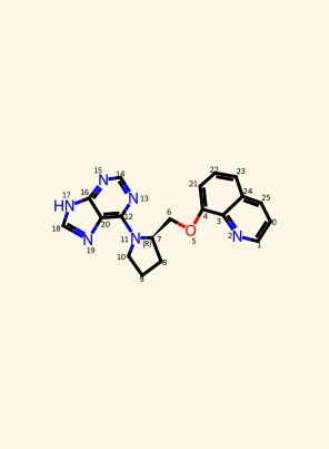 c1cnc2c(OC[C@H]3CCCN3c3ncnc4[nH]cnc34)cccc2c1